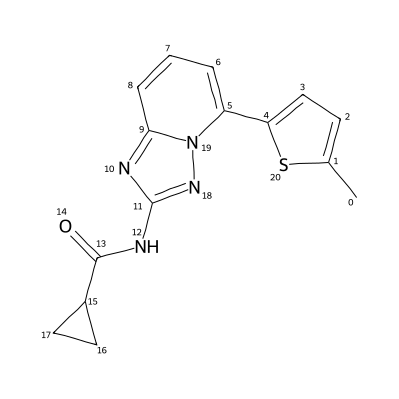 Cc1ccc(-c2cccc3nc(NC(=O)C4CC4)nn23)s1